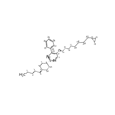 CCCCC[C@H]1CC[C@H](c2ncc(OCCCCCCCCC3CC3)c(-c3ccccc3)n2)CC1